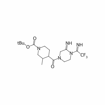 CC1CN(C(=O)OC(C)(C)C)CCC1C(=O)N1CCN(C(=N)C(F)(F)F)C(=N)C1